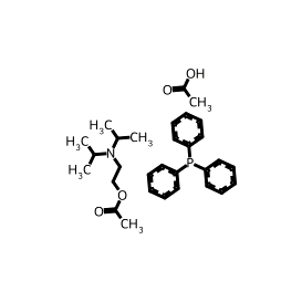 CC(=O)O.CC(=O)OCCN(C(C)C)C(C)C.c1ccc(P(c2ccccc2)c2ccccc2)cc1